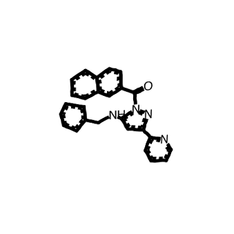 O=C(c1ccc2ccccc2c1)n1nc(-c2ccccn2)cc1NCc1ccccc1